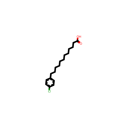 O=C(O)CCCCCCCCCCCc1ccc(Cl)cc1